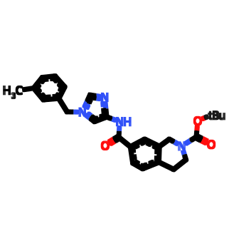 Cc1cccc(Cn2cnc(NC(=O)c3ccc4c(c3)CN(C(=O)OC(C)(C)C)CC4)c2)c1